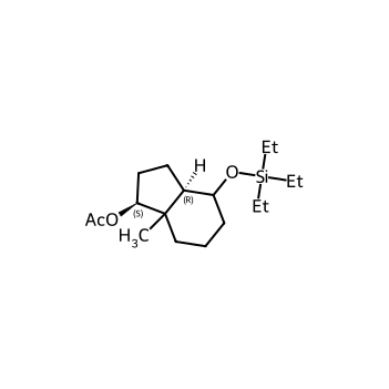 CC[Si](CC)(CC)OC1CCCC2(C)[C@@H](OC(C)=O)CC[C@@H]12